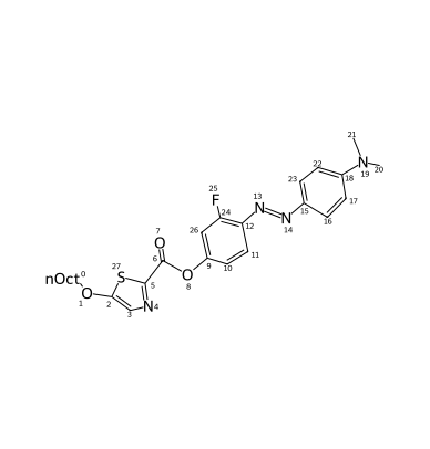 CCCCCCCCOc1cnc(C(=O)Oc2ccc(/N=N/c3ccc(N(C)C)cc3)c(F)c2)s1